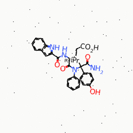 CC(C)C(C(N)=O)(c1ccc(O)cc1)N(C(=O)[C@@H](CCC(=O)O)NC(=O)c1cc2ccccc2[nH]1)c1ccccc1